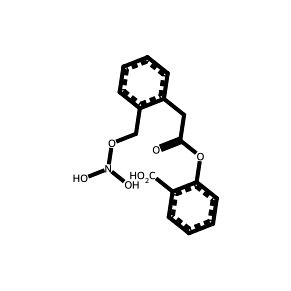 O=C(Cc1ccccc1CON(O)O)Oc1ccccc1C(=O)O